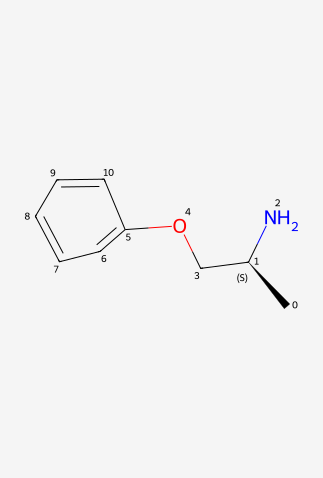 C[C@H](N)COc1ccccc1